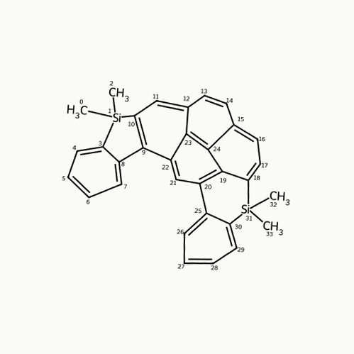 C[Si]1(C)c2ccccc2-c2c1cc1ccc3ccc4c5c(cc2c1c35)-c1ccccc1[Si]4(C)C